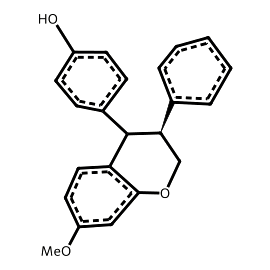 COc1ccc2c(c1)OC[C@H](c1ccccc1)C2c1ccc(O)cc1